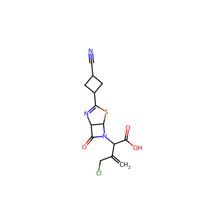 C=C(CCl)C(C(=O)O)N1C(=O)C2N=C(C3CC(C#N)C3)SC21